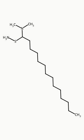 CCCCCCCCCCCCCC(SN)N(C)C